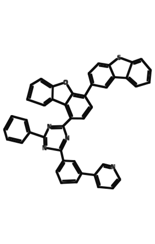 c1ccc(-c2nc(-c3cccc(-c4cccnc4)c3)nc(-c3ccc(-c4ccc5sc6ccccc6c5c4)c4oc5ccccc5c34)n2)cc1